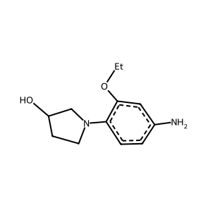 CCOc1cc(N)ccc1N1CCC(O)C1